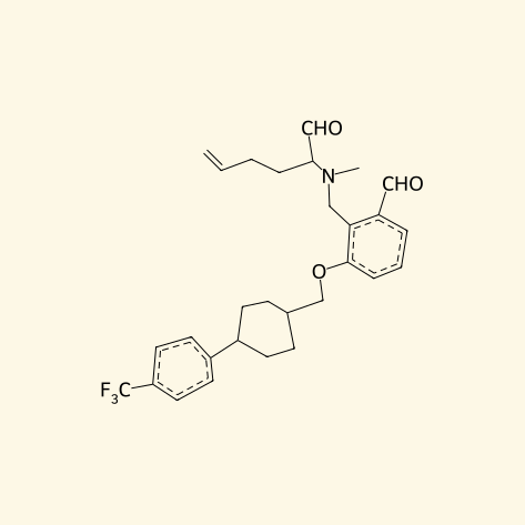 C=CCCC(C=O)N(C)Cc1c(C=O)cccc1OCC1CCC(c2ccc(C(F)(F)F)cc2)CC1